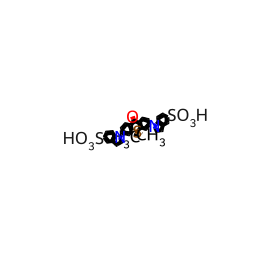 CS1(C)c2cc(N3CCc4cc(S(=O)(=O)O)ccc43)ccc2C(=O)c2ccc(N3CCc4cc(S(=O)(=O)O)ccc43)cc21